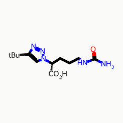 CC(C)(C)c1cn([C@@H](CCCNC(N)=O)C(=O)O)nn1